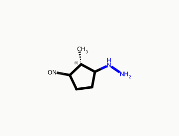 C[C@H]1C(N=O)CCC1NN